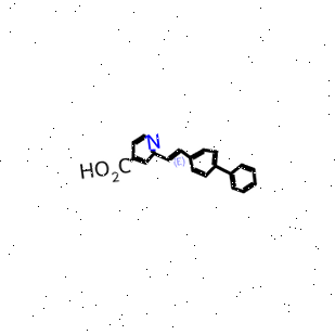 O=C(O)c1ccnc(/C=C/c2ccc(-c3ccccc3)cc2)c1